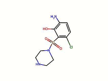 Nc1ccc(Cl)c(S(=O)(=O)N2CCNCC2)c1O